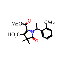 COC(=O)C1=C(C(=O)O)C(C)(C)C(=O)N1C(C)c1ccccc1OC